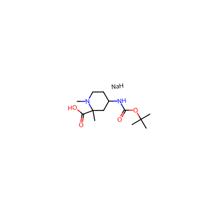 CN1CCC(NC(=O)OC(C)(C)C)CC1(C)C(=O)O.[NaH]